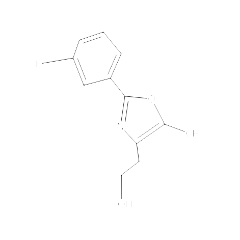 Cc1oc(-c2cccc(F)c2)nc1CCO